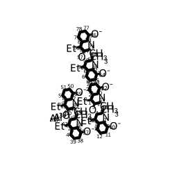 CCc1c(Oc2c(C)nc3c([O-])cccc3c2CC)c(C)nc2c([O-])cccc12.CCc1c(Oc2c(C)nc3c([O-])cccc3c2CC)c(C)nc2c([O-])cccc12.CCc1c(Oc2c(C)nc3c([O-])cccc3c2CC)c(C)nc2c([O-])cccc12.[Al+3].[Al+3]